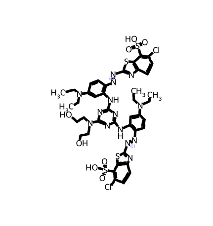 CCN(CC)c1ccc(/N=N/c2nc3ccc(Cl)c(S(=O)(=O)O)c3s2)c(Nc2nc(Nc3cc(N(CC)CC)ccc3/N=N/c3nc4ccc(Cl)c(S(=O)(=O)O)c4s3)nc(N(CCO)CCO)n2)c1